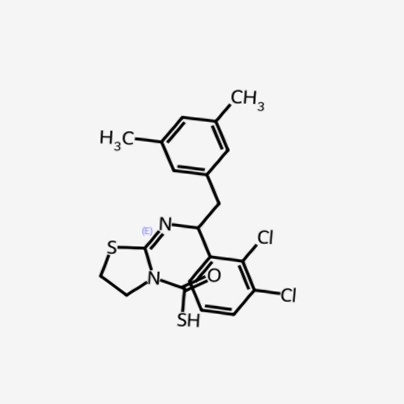 Cc1cc(C)cc(CC(/N=C2/SCCN2C(=O)S)c2cccc(Cl)c2Cl)c1